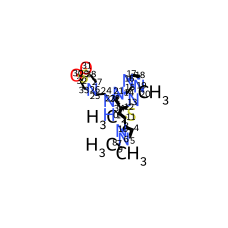 Cc1c(-c2ccn(C(C)C)n2)sc2nc(-c3nccn3C)nc(NCCN3CCS(=O)(=O)CC3)c12